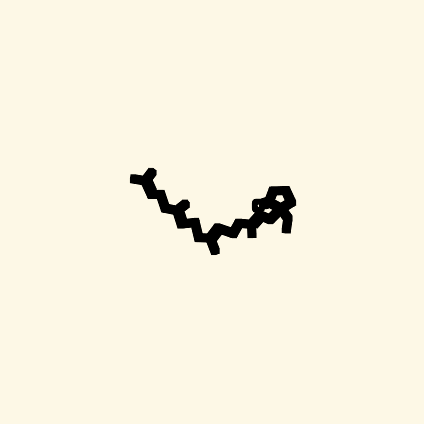 CCC1(C/C=C(\C)CC/C=C(\C)CC/C=C(\C)CCC=C(C)C)CCCC1=O